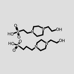 O=S(=O)(O)CCCN1CCN(CCO)CC1.O=S(=O)(O)CCN1CCN(CCO)CC1